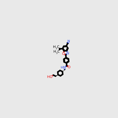 CC(C)c1cc(C#N)cc2nc(-c3ccc(C(=O)NC[C@H]4CC[C@H](CCO)CC4)cc3)oc12